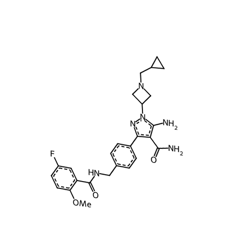 COc1ccc(F)cc1C(=O)NCc1ccc(-c2nn(C3CN(CC4CC4)C3)c(N)c2C(N)=O)cc1